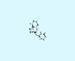 CCN(Cc1ccccc1)CC1CCCCN1CC